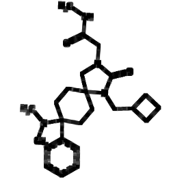 CNC(=O)CN1CC2(CCC(c3ccccc3)(N(C)C)CC2)N(CC2CCC2)C1=O